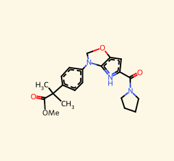 COC(=O)C(C)(C)c1ccc(N2COc3cc(C(=O)N4CCCC4)[nH]c32)cc1